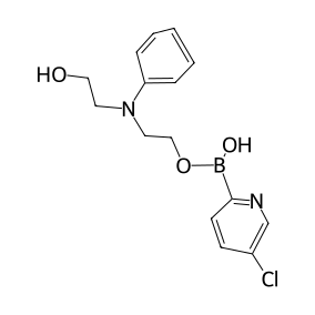 OCCN(CCOB(O)c1ccc(Cl)cn1)c1ccccc1